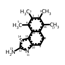 Cc1c(C)c(C)c2c(ccc3nc(N)sc32)c1C